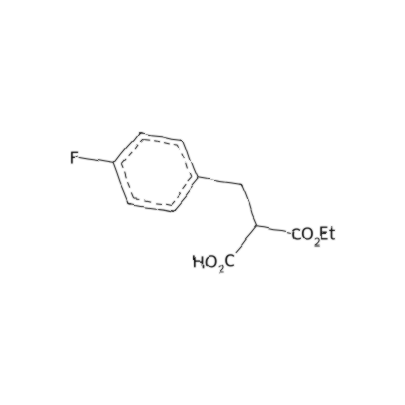 CCOC(=O)C(Cc1ccc(F)cc1)C(=O)O